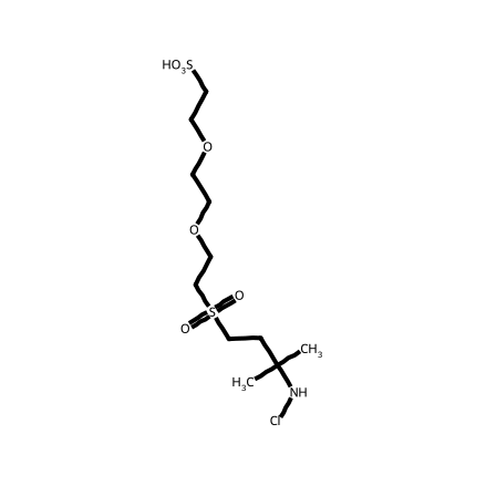 CC(C)(CCS(=O)(=O)CCOCCOCCS(=O)(=O)O)NCl